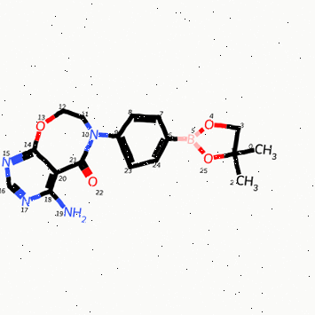 CC1(C)COB(c2ccc(N3CCOc4ncnc(N)c4C3=O)cc2)O1